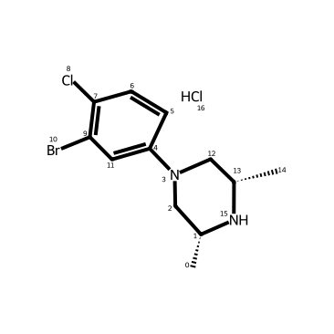 C[C@@H]1CN(c2ccc(Cl)c(Br)c2)C[C@H](C)N1.Cl